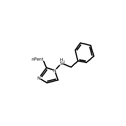 CCCCCc1nccn1[SiH2]Cc1ccccc1